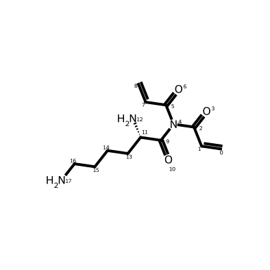 C=CC(=O)N(C(=O)C=C)C(=O)[C@@H](N)CCCCN